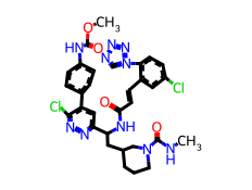 CNC(=O)N1CCCC(CC(NC(=O)/C=C/c2cc(Cl)ccc2-n2cnnn2)c2cc(-c3ccc(NC(=O)OC)cc3)c(Cl)nn2)C1